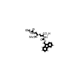 CSS[C@@H](CC[C@H](NC(=O)OCC1c2ccccc2-c2ccccc21)C(=O)O)CNC(=O)OC(C)(C)C